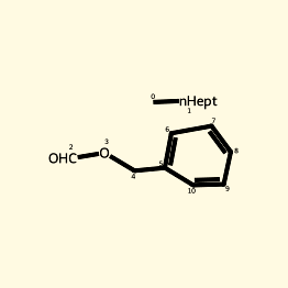 CCCCCCCC.O=COCc1ccccc1